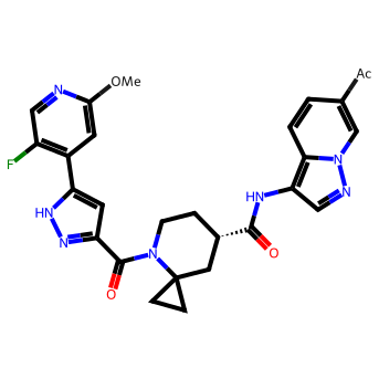 COc1cc(-c2cc(C(=O)N3CC[C@H](C(=O)Nc4cnn5cc(C(C)=O)ccc45)CC34CC4)n[nH]2)c(F)cn1